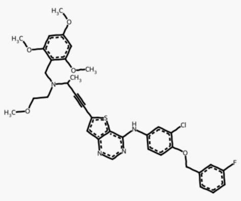 COCCN(Cc1c(OC)cc(OC)cc1OC)C(C)C#Cc1cc2ncnc(Nc3ccc(OCc4cccc(F)c4)c(Cl)c3)c2s1